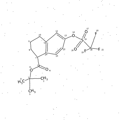 CC(C)(C)OC(=O)C1CCCc2cc(OS(=O)(=O)C(F)(F)F)ccc21